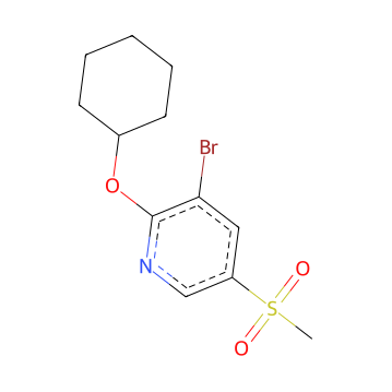 CS(=O)(=O)c1cnc(OC2CCCCC2)c(Br)c1